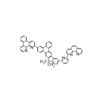 CC1(C)c2ccc(-c3cccc(-c4ccc5ccc6cccnc6c5n4)n3)cc2-c2cc3c4ccccc4c4cc(-c5ccc6c7ccccc7c7cccnc7c6n5)ccc4c3cc21